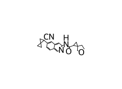 N#C[C@]1(c2ccc3cnc(NC(=O)C4CC45CCOC5)cc3c2)CC12CC2